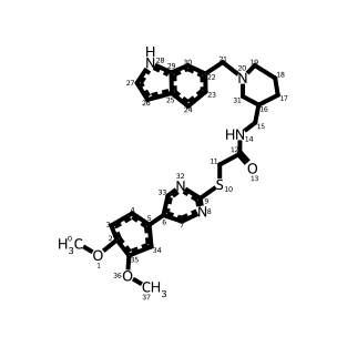 COc1ccc(-c2cnc(SCC(=O)NCC3CCCN(Cc4ccc5cc[nH]c5c4)C3)nc2)cc1OC